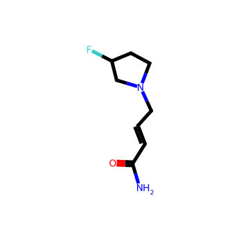 NC(=O)C=CCN1CCC(F)C1